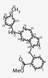 COC(=O)c1ccccc1Cn1ncc2cnc(Nc3cnn(C)c3)nc21